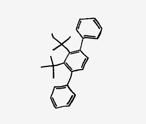 CC(C)(C)c1c(-c2ccccc2)ccc(-c2ccccc2)c1C(C)(C)C